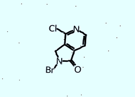 O=C1c2ccnc(Cl)c2CN1Br